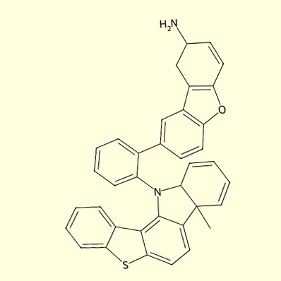 CC12C=CC=CC1N(c1ccccc1-c1ccc3oc4c(c3c1)CC(N)C=C4)c1c2ccc2sc3ccccc3c12